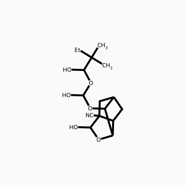 CCC(C)(C)C(O)OC(O)OC1C2CC3C1OC(O)C3(C#N)C2